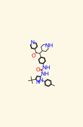 Cc1ccc(-n2nc(C(C)(C)C)cc2NC(=O)Nc2ccc(C(C(=O)c3ccncc3)C3CCNCC3)cc2)cc1